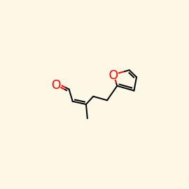 C/C(=C/C=O)CCc1ccco1